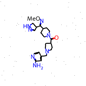 CO/N=C(\C1C=NNC1)C1CCN(C(=O)C2CCN(Cc3ccnc(N)c3)CC2)CC1